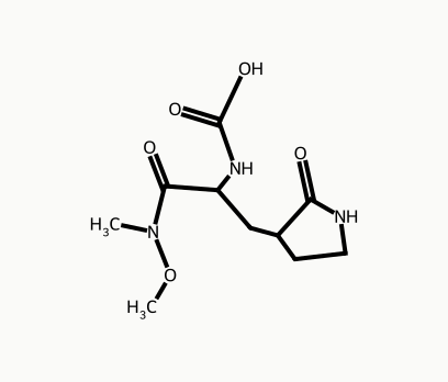 CON(C)C(=O)C(CC1CCNC1=O)NC(=O)O